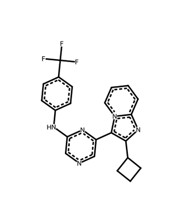 FC(F)(F)c1ccc(Nc2cncc(-c3c(C4CCC4)nc4ccccn34)n2)cc1